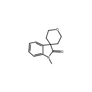 CN1C(=O)C2(CCOCC2)c2ccccc21